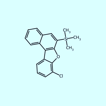 C[Si](C)(C)c1cc2ccccc2c2c1oc1c(Cl)cccc12